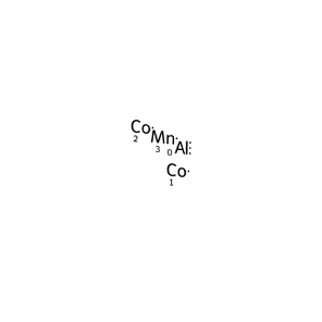 [Al].[Co].[Co].[Mn]